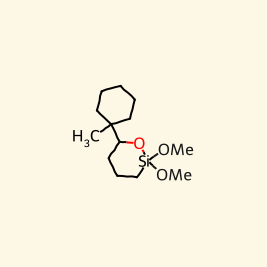 CO[Si]1(OC)CCCC(C2(C)CCCCC2)O1